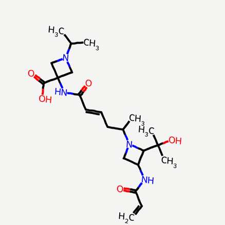 C=CC(=O)NC1CN(C(C)C/C=C/C(=O)NC2(C(=O)O)CN(C(C)C)C2)C1C(C)(C)O